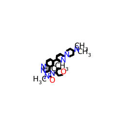 CN(C)C1CCN(c2ccc(-c3ccc4nnc5c(c4c3)n([C@@H]3CCOCC3(C)C)c(=O)n5C)cn2)CC1